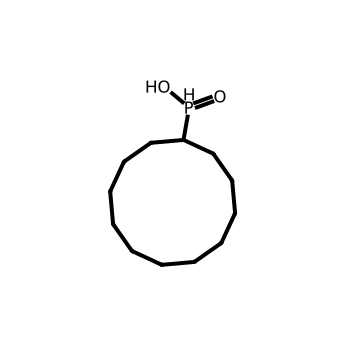 O=[PH](O)C1CCCCCCCCCCC1